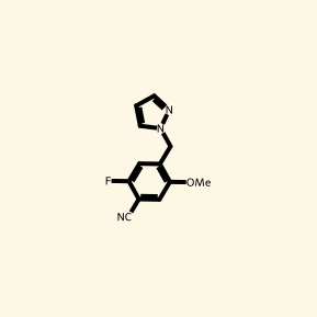 COc1cc(C#N)c(F)cc1Cn1cccn1